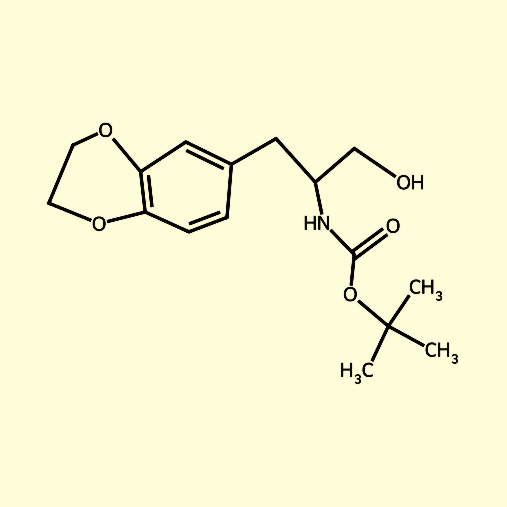 CC(C)(C)OC(=O)NC(CO)Cc1ccc2c(c1)OCCO2